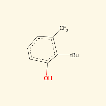 CC(C)(C)c1c(O)cccc1C(F)(F)F